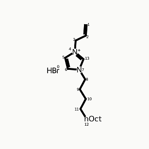 Br.C=CC[n+]1ccn(CCCCCCCCCCCC)c1